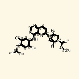 CC(C)(C)OC(=O)N1C[C@@H]2C[C@H]1CN2c1ccc2ncnc(Nc3cc(Cl)c(OC(F)F)cc3F)c2n1